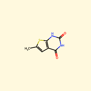 Cc1cc2c(=O)[nH]c(=O)[nH]c2s1